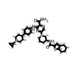 NC(=O)c1ncc(N2CCCC(NC(=O)c3cc4c(s3)CCCC4)C2)nc1Nc1ccc(C2CCN(C3CC3)CC2)cc1